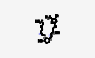 Cc1sc(OC[C@H](O)/C=C/[C@H]2CCC(O)[C@@H]2C/C=C\COCC(=O)O)cc1Br